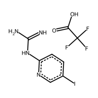 N=C(N)Nc1ccc(I)cn1.O=C(O)C(F)(F)F